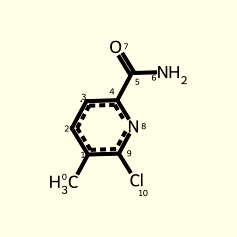 Cc1c[c]c(C(N)=O)nc1Cl